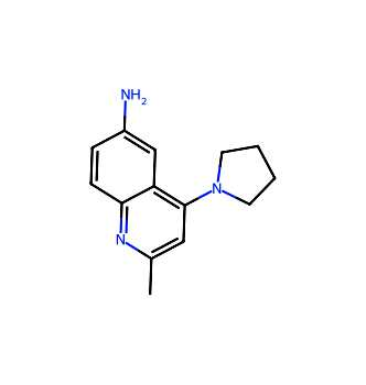 Cc1cc(N2CCCC2)c2cc(N)ccc2n1